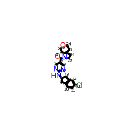 O=C(c1cnc(NC2Cc3ccc(Cl)cc3C2)nc1)N1CCC12CCOCC2